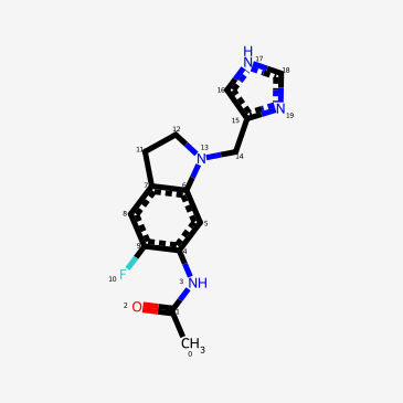 CC(=O)Nc1cc2c(cc1F)CCN2Cc1c[nH]cn1